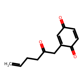 C=CCCC(=O)CC1=CC(=O)C=CC1=O